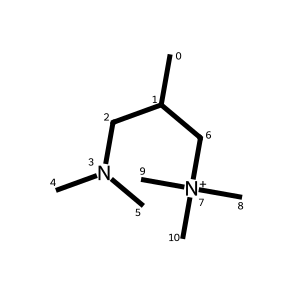 CC(CN(C)C)C[N+](C)(C)C